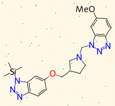 COc1ccc2nnn(CN3CCC(COc4ccc5nnn([Si](C)(C)C)c5c4)C3)c2c1